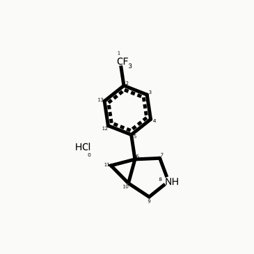 Cl.FC(F)(F)c1ccc(C23CNCC2C3)cc1